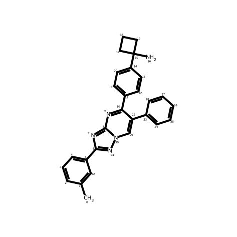 Cc1cccc(-c2nc3nc(-c4ccc(C5(N)CCC5)cc4)c(-c4ccccc4)cn3n2)c1